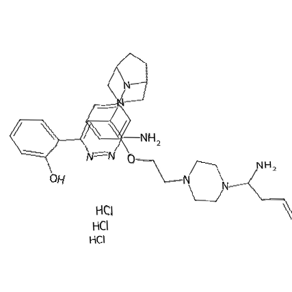 Cl.Cl.Cl.Nc1nnc(-c2ccccc2O)cc1N1CC2CCC(C1)N2c1cccc(OCCN2CCN(C(N)CC=O)CC2)c1